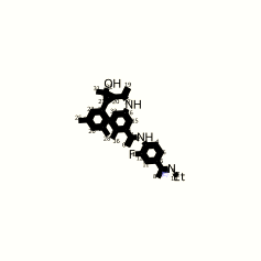 C=C(Nc1ccc(/C(C)=N/CC)cc1F)c1cc(NC(=C)C2C(c3cc(C)cc(C)c3)C2(C)O)ccc1C